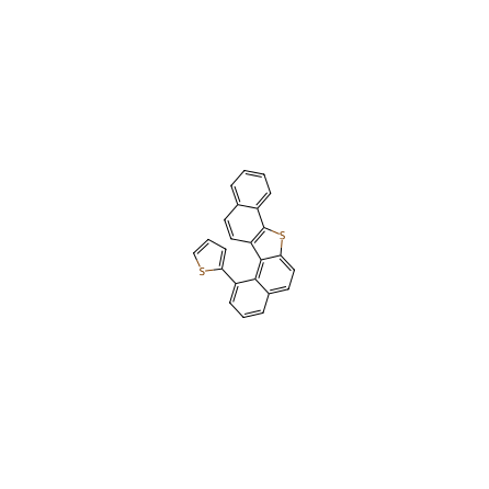 c1csc(-c2cccc3ccc4sc5c6ccccc6ccc5c4c23)c1